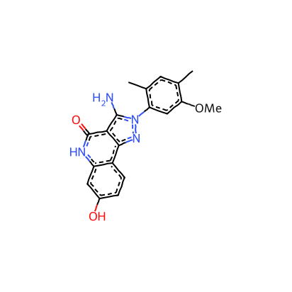 COc1cc(-n2nc3c(c2N)c(=O)[nH]c2cc(O)ccc23)c(C)cc1C